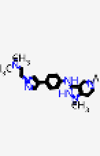 CC(=O)N1CCC2=C(C1)C(Nc1ccc(-c3cnn(CCN(C)C)c3)cc1)NN2C